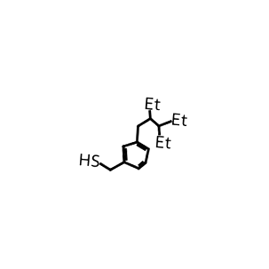 CCC(CC)C(CC)Cc1cccc(CS)c1